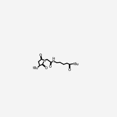 CC(C)(C)C(=O)CCCCNC(=O)CN1C(=O)CC(C(C)(C)C)C1=O